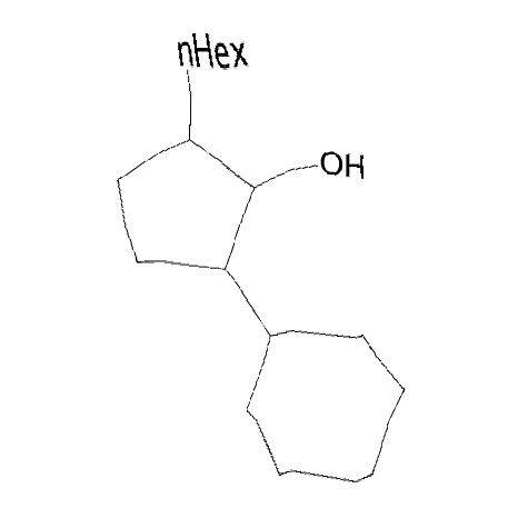 CCCCCCC1CCC(C2CCCCC2)C1O